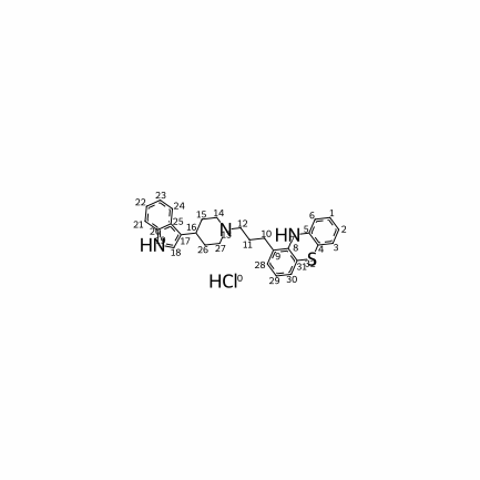 Cl.c1ccc2c(c1)Nc1c(CCCN3CCC(c4c[nH]c5ccccc45)CC3)cccc1S2